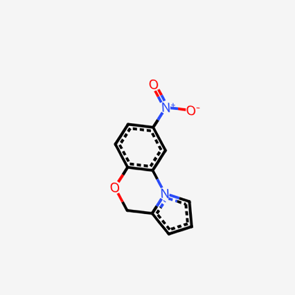 O=[N+]([O-])c1ccc2c(c1)-n1cccc1CO2